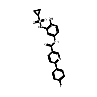 O=C(Nc1ccc(O)c(NS(=O)(=O)C2CC2)c1)c1ccc(-c2ccc(F)cc2)nc1